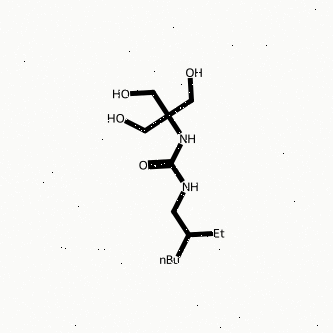 CCCCC(CC)CNC(=O)NC(CO)(CO)CO